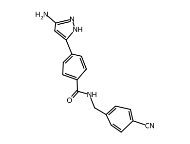 N#Cc1ccc(CNC(=O)c2ccc(-c3cc(N)n[nH]3)cc2)cc1